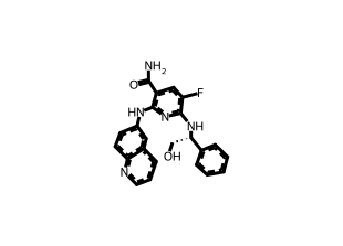 NC(=O)c1cc(F)c(N[C@@H](CO)c2ccccc2)nc1Nc1ccc2ncccc2c1